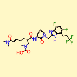 CN(C)C(=O)/C=C/CC[C@@H](CN(C)C(=O)O)C(=O)Nc1cccn(Cc2nc3c(F)cc(F)c(CCC(F)(F)F)c3[nH]2)c1=O